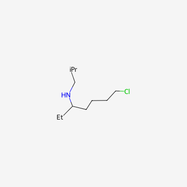 CCC(CCCCCl)NCC(C)C